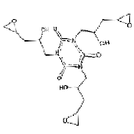 O=c1n(CC(O)CC2CO2)c(=O)n(CC(O)CC2CO2)c(=O)n1CC(O)CC1CO1